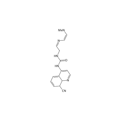 CN/C=C\N=C/CNC(=O)NC1=CC=NC2C1=CC=CC2C#N